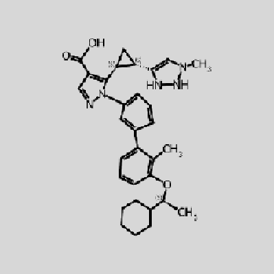 Cc1c(O[C@@H](C)C2CCCCC2)cccc1-c1cccc(-n2ncc(C(=O)O)c2[C@H]2C[C@@H]2C2=CN(C)NN2)c1